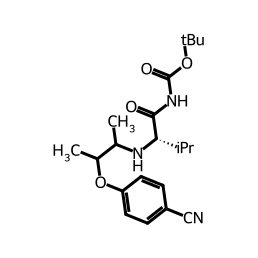 CC(N[C@H](C(=O)NC(=O)OC(C)(C)C)C(C)C)C(C)Oc1ccc(C#N)cc1